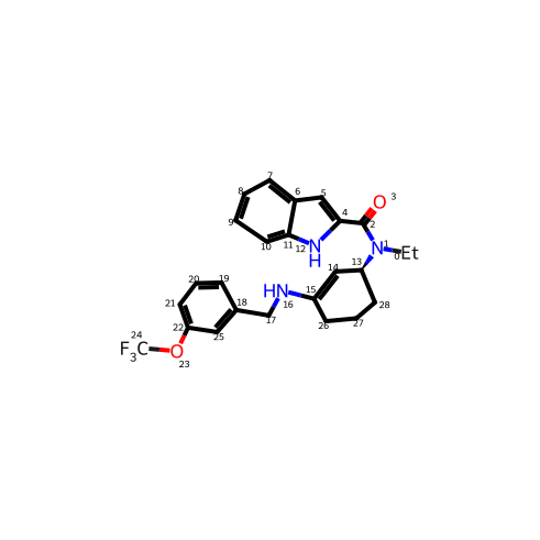 CCN(C(=O)c1cc2ccccc2[nH]1)[C@@H]1C=C(NCc2cccc(OC(F)(F)F)c2)CCC1